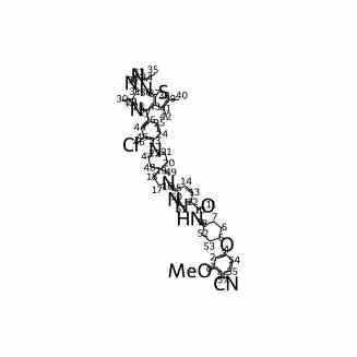 COc1cc(OC2CCC(NC(=O)c3ccc(N4CCC5(CCN(c6ccc(C7=N[C@@H](C)c8nnc(C)n8-c8sc(C)c(C)c87)cc6Cl)CC5)C4)nn3)CC2)ccc1C#N